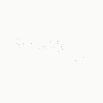 CCOP(=O)(O)ON(CC)CCCOc1ccc2c(Nc3cc(CC(=O)Nc4cccc(F)c4)[nH]n3)ncnc2c1